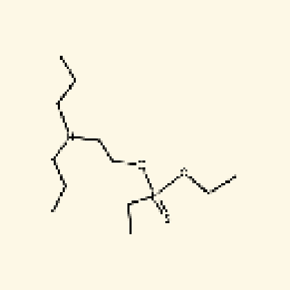 CCCN(CCC)CCOP(=S)(CC)OCC